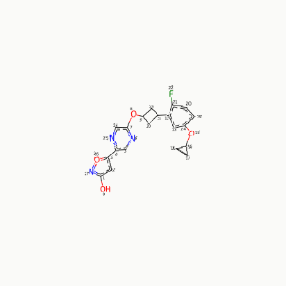 Oc1cc(-c2cnc(OC3CC(c4cc(OC5CC5)ccc4F)C3)cn2)on1